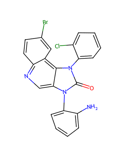 Nc1ccccc1-n1c(=O)n(-c2ccccc2Cl)c2c3cc(Br)ccc3ncc21